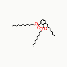 CCCCCCCCCCCOC(=O)c1cccc(CCCCCCC)c1C(=O)OCCCCCCCCC